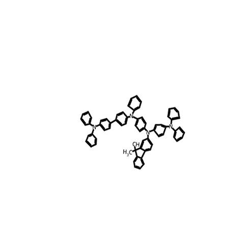 CC1(C)c2ccccc2-c2ccc(N(c3ccc(N(c4ccccc4)c4ccccc4)cc3)c3ccc(N(c4ccccc4)c4ccc(-c5ccc(N(c6ccccc6)c6ccccc6)cc5)cc4)cc3)cc21